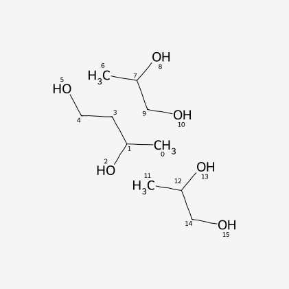 CC(O)CCO.CC(O)CO.CC(O)CO